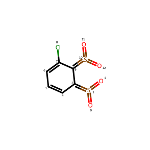 O=S(=O)=C1C=CC=C(Cl)C1=S(=O)=O